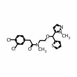 CN(CCOC(c1cccs1)c1ccnn1C)C(=O)Cc1ccc(Cl)c(Cl)c1